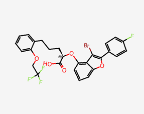 O=C(O)[C@@H](CCCc1ccccc1OCC(F)(F)F)Oc1cccc2oc(-c3ccc(F)cc3)c(Br)c12